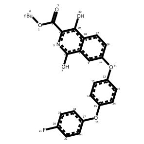 CCCCOC(=O)c1nc(O)c2cc(Oc3ccc(Oc4ccc(F)cc4)cc3)ccc2c1O